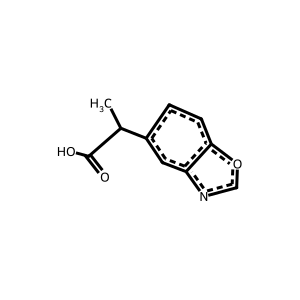 CC(C(=O)O)c1ccc2ocnc2c1